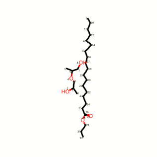 CC(O)COC(C)CO.CCCCCCCCCCCCCCCCCC(=O)OCCC